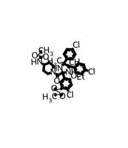 CCOc1cc(Cl)c(S(C)(=O)=O)cc1C1(C(=O)N2CCC(NS(C)(=O)=O)CC2)N[C@@](C)(c2ccc(Cl)cc2)[C@@](C)(c2ccc(Cl)cc2)N1